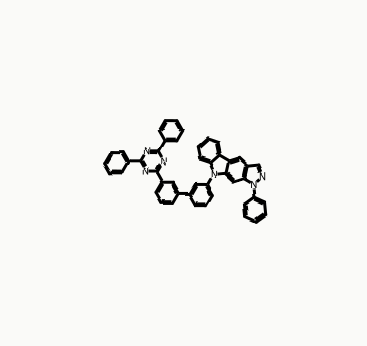 c1ccc(-c2nc(-c3ccccc3)nc(-c3cccc(-c4cccc(-n5c6ccccc6c6cc7cnn(-c8ccccc8)c7cc65)c4)c3)n2)cc1